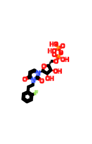 O=c1ccn([C@@H]2O[C@H](COP(=O)(O)OP(=O)(O)O)[C@H](O)[C@@H]2O)c(=O)n1CCc1ccccc1F